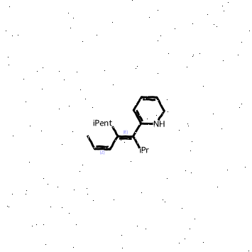 C/C=C\C(=C(\C1=CC=CCN1)C(C)C)C(C)CCC